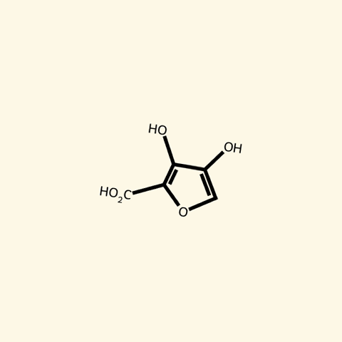 O=C(O)c1occ(O)c1O